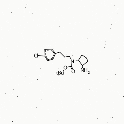 CC(C)(C)OC(=O)N(CCCc1ccc(Cl)cc1)[C@@H]1CCC[C@H]1N